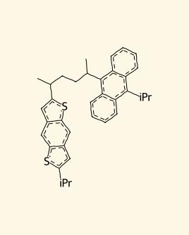 CC(C)c1cc2cc3sc(C(C)CCC(C)c4c5ccccc5c(C(C)C)c5ccccc45)cc3cc2s1